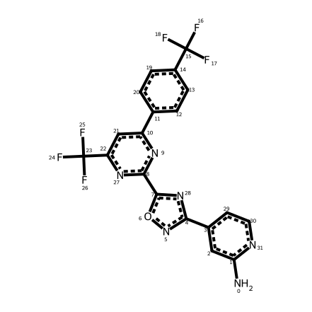 Nc1cc(-c2noc(-c3nc(-c4ccc(C(F)(F)F)cc4)cc(C(F)(F)F)n3)n2)ccn1